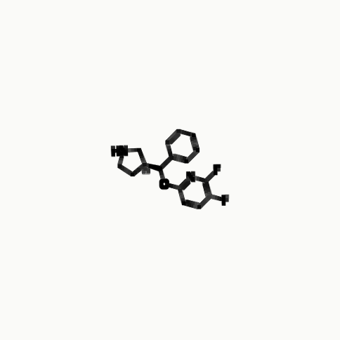 Fc1ccc(OC(c2ccccc2)[C@H]2CCNC2)nc1F